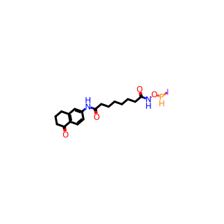 O=C(CCCCCCC(=O)Nc1ccc2c(c1)CCCC2=O)NOPI